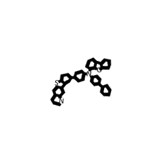 c1ccc(-c2ccc(N(c3ccc(-c4ccc5sc6cc7cccnc7cc6c5c4)cc3)c3cccc4c3oc3ccccc34)cc2)cc1